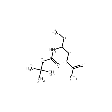 CCC(CSC(C)=O)NC(=O)OC(C)(C)C